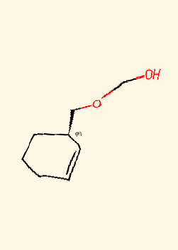 OCOC[C@H]1C=CCCC1